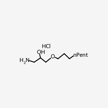 CCCCCCCCOCC(O)CN.Cl